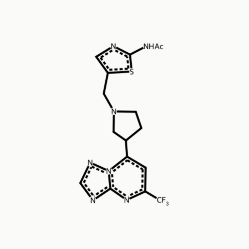 CC(=O)Nc1ncc(CN2CCC(c3cc(C(F)(F)F)nc4ncnn34)C2)s1